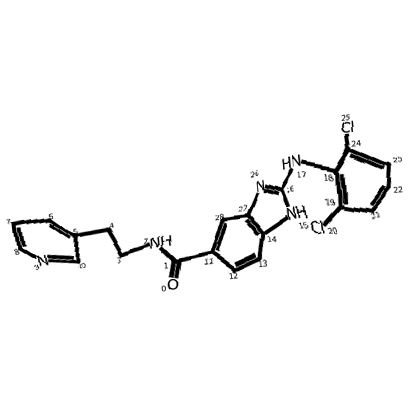 O=C(NCCc1cccnc1)c1ccc2[nH]c(Nc3c(Cl)cccc3Cl)nc2c1